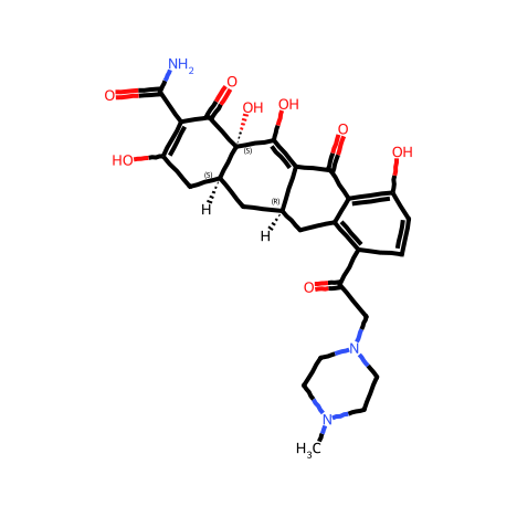 CN1CCN(CC(=O)c2ccc(O)c3c2C[C@H]2C[C@H]4CC(O)=C(C(N)=O)C(=O)[C@@]4(O)C(O)=C2C3=O)CC1